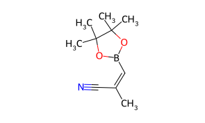 CC(C#N)=CB1OC(C)(C)C(C)(C)O1